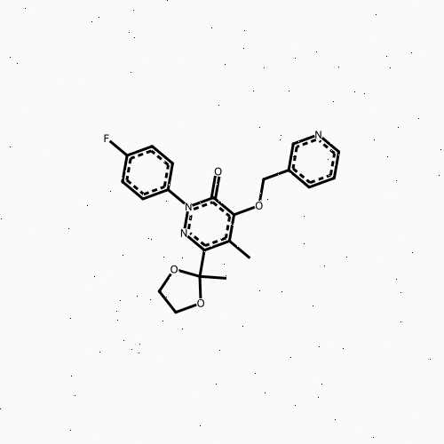 Cc1c(C2(C)OCCO2)nn(-c2ccc(F)cc2)c(=O)c1OCc1cccnc1